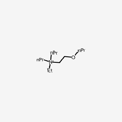 CCCOCC[N+](CC)(CCC)CCC